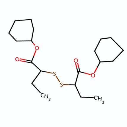 CCC(SSC(CC)C(=O)OC1CCCCC1)C(=O)OC1CCCCC1